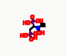 CCN(O)C(CP(=O)(O)O)P(=O)(O)O